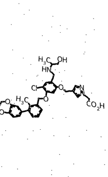 Cc1c(COc2cc(OCc3cnn(CC(=O)O)c3)c(CNC(C)CO)cc2Cl)cccc1-c1ccc2c(c1)OCCO2